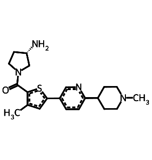 Cc1cc(-c2ccc(C3CCN(C)CC3)nc2)sc1C(=O)N1CC[C@H](N)C1